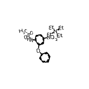 CC[N+](CC)(CC)CC.CS(=O)(=O)Nc1ccc([N+](=O)[O-])cc1Oc1ccccc1